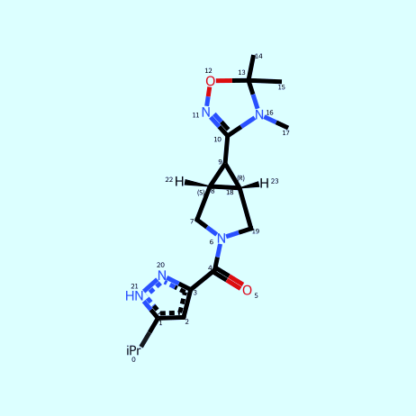 CC(C)c1cc(C(=O)N2C[C@@H]3C(C4=NOC(C)(C)N4C)[C@@H]3C2)n[nH]1